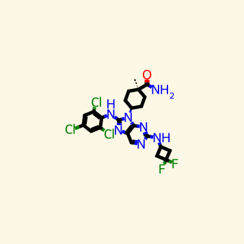 C[C@]1(C(N)=O)CC[C@@H](n2c(Nc3c(Cl)cc(Cl)cc3Cl)nc3cnc(NC4CC(F)(F)C4)nc32)CC1